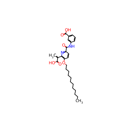 C=C(C(=O)O)c1nc(C(=O)Nc2cccc(C(=O)O)c2)ccc1OCCCCCCCCCCCC